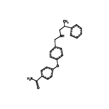 CC(CNCc1ccc(Oc2ccc(C(N)=O)cc2)cc1)c1ccccc1